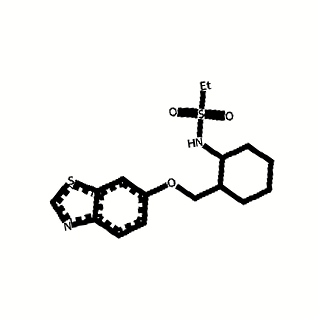 CCS(=O)(=O)NC1CCCCC1COc1ccc2ncsc2c1